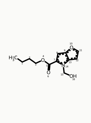 CCCCOC(=O)c1cc2occc2n1CO